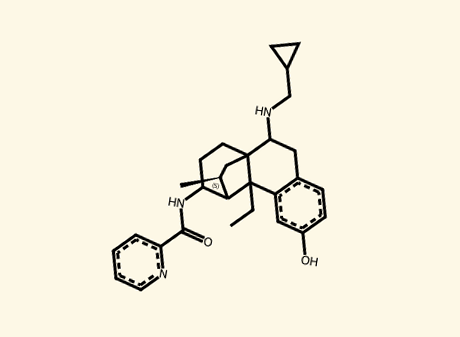 CCC12c3cc(O)ccc3CC(NCC3CC3)C13CCC(NC(=O)c1ccccn1)C2[C@@H](C)C3